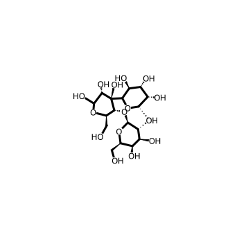 C[C@@H]1OC([C@]2(O)[C@H](O[C@@H]3O[C@H](CO)[C@H](O)[C@H](O)[C@H]3O)[C@@H](CO)OC(O)[C@@H]2O)[C@@H](O)[C@H](O)[C@@H]1O